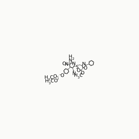 [C-]#[N+]c1c(N)nc(SCc2nc(-c3ccccc3)oc2C(=O)OC)c(C#N)c1-c1ccc(OC[C@@H]2COC(C)(C)O2)cc1